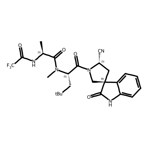 C[C@H](NC(=O)C(F)(F)F)C(=O)N(C)[C@@H](CC(C)(C)C)C(=O)N1C[C@]2(C[C@H]1C#N)C(=O)Nc1ccccc12